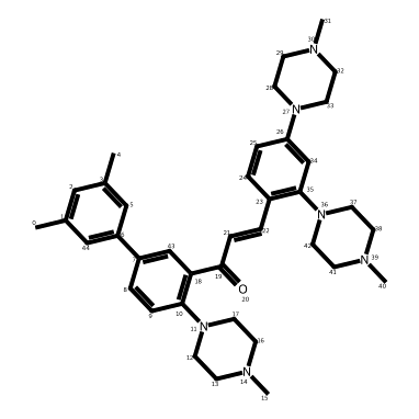 Cc1cc(C)cc(-c2ccc(N3CCN(C)CC3)c(C(=O)/C=C/c3ccc(N4CCN(C)CC4)cc3N3CCN(C)CC3)c2)c1